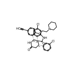 C#Cc1ccc(OCCN2CCCCC2)c([C@H]2NC(=O)C[C@@H](c3cccc(Cl)c3)[C@]23C(=O)Nc2cc(Cl)ccc23)c1